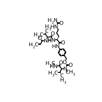 C=CC(=O)NC(C(=O)N[C@@H](CCCNC(N)=O)C(=O)Nc1ccc(COC(=O)N(C)C(C(=O)NC)C(C)C)cc1)C(C)C